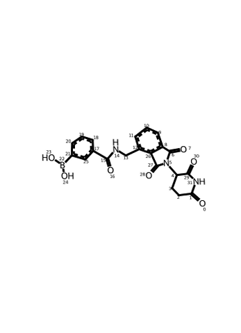 O=C1CCC(N2C(=O)c3cccc(CNC(=O)c4cccc(B(O)O)c4)c3C2=O)C(=O)N1